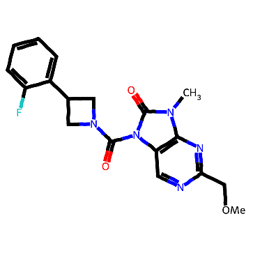 COCc1ncc2c(n1)n(C)c(=O)n2C(=O)N1CC(c2ccccc2F)C1